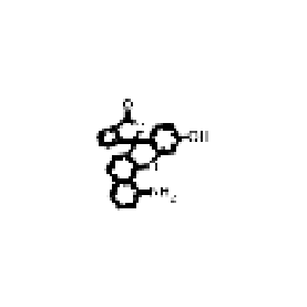 Nc1cccc2ccc3c(c12)Oc1cc(O)ccc1C31OC(=O)c2ccccc21